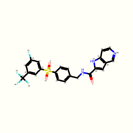 O=C(NCc1ccc(S(=O)(=O)c2cc(F)cc(C(F)(F)F)c2)cc1)c1cc2cnccc2[nH]1